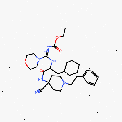 CCOC(=O)/N=C(\NC(CC1CCCCC1)C(=O)NC1(C#N)CCN(CCc2ccccc2)CC1)N1CCOCC1